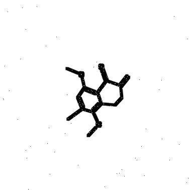 C=C1CCc2c(OC)c(C)cc(OC)c2C1=O